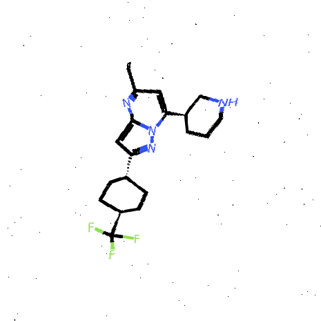 Cc1cc([C@@H]2CCCNC2)n2nc([C@H]3CC[C@H](C(F)(F)F)CC3)cc2n1